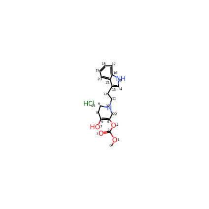 COC(=O)OC1=C(O)CCN(CCc2c[nH]c3ccccc23)C1.Cl